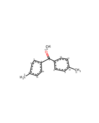 Cc1ccc(C(=O)c2ccc(C)cc2)cc1.[CH]